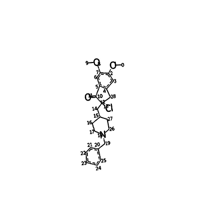 COc1cc2c(cc1OC)C(=O)C(Cl)(CC1CCN(Cc3ccccc3)CC1)C2